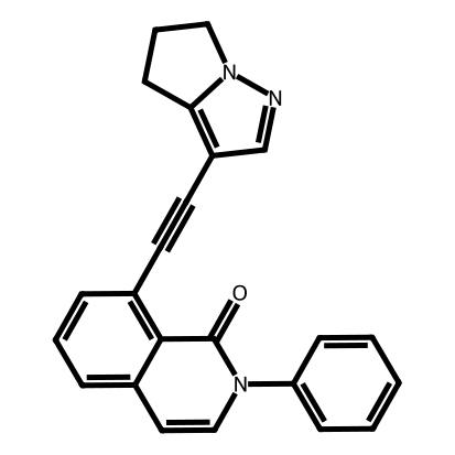 O=c1c2c(C#Cc3cnn4c3CCC4)cccc2ccn1-c1ccccc1